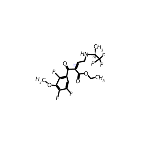 CCOC(=O)/C(=C\CN[C@@H](C)C(F)(F)F)C(=O)c1cc(F)c(F)c(OC)c1F